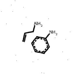 C=C[CH2][AlH2].Nc1ccccc1